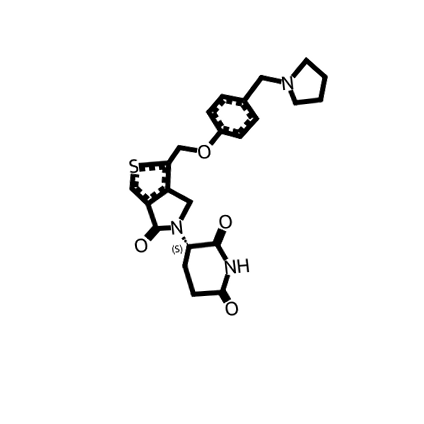 O=C1CC[C@H](N2Cc3c(csc3COc3ccc(CN4CCCC4)cc3)C2=O)C(=O)N1